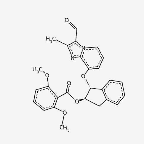 COc1cccc(OC)c1C(=O)O[C@@H]1Cc2ccccc2[C@H]1Oc1cccn2c(C=O)c(C)nc12